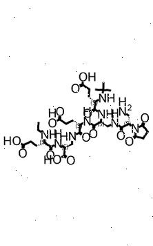 CCN[C@@H](CCC(=O)O)C(=O)N[C@@H](CNC(=O)[C@H](CCC(=O)O)NC(=O)[C@H](CNC(=O)[C@H](CN)N1C(=O)CCC1=O)NC(=O)[C@H](CCC(=O)O)NC(C)(C)C)C(=O)O